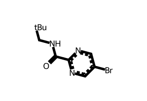 CC(C)(C)CNC(=O)c1ncc(Br)cn1